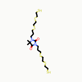 CC1(C)C(=O)N(CCCSCCSCCS)C(=O)N1CCCSCCSCCS